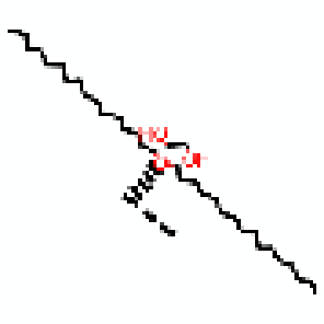 C=C.C=C.C=C.C=C.C=C.C=C.C=C.CCCCCCCCCCCCCCCCOCCCCCCCCCCCCCCCC.OCCO